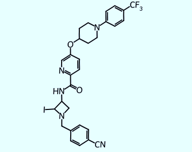 N#Cc1ccc(CN2CC(NC(=O)c3ccc(OC4CCN(c5ccc(C(F)(F)F)cc5)CC4)cn3)C2I)cc1